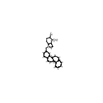 CC(=O)C1CCc2c(cnn2Cc2ccc3ccc4c5ccccc5ccc4c3c2)C1C=O